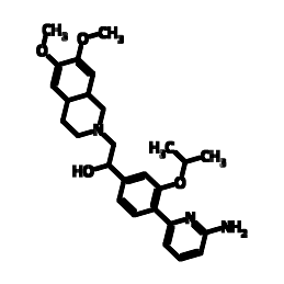 COC1=CC2CCN(CC(O)c3ccc(-c4cccc(N)n4)c(OC(C)C)c3)CC2C=C1OC